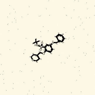 CC(C)(C)NS(=O)(=O)c1cc(SCc2ccccc2)ccc1OCC1CCOCC1